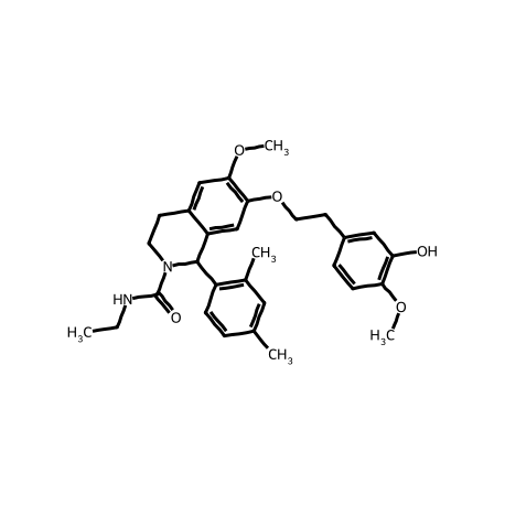 CCNC(=O)N1CCc2cc(OC)c(OCCc3ccc(OC)c(O)c3)cc2C1c1ccc(C)cc1C